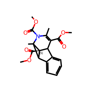 COC(=O)C1=C(C)N(C(=O)OC)C2(C)C3c4ccccc4C1[C@]32C(=O)OC